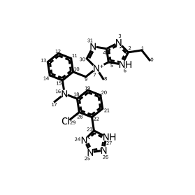 CCc1nc2c([nH]1)[N+](C)(Cc1ccccc1N(C)c1cccc(-c3nnn[nH]3)c1Cl)C=N2